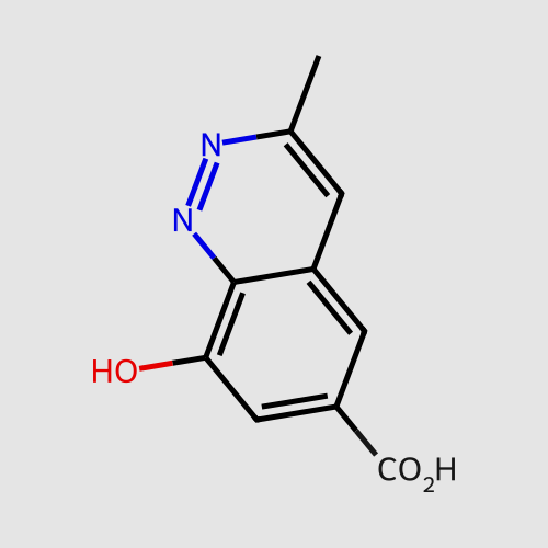 Cc1cc2cc(C(=O)O)cc(O)c2nn1